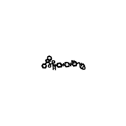 O=C(Nc1ccc(N2CCN(c3ccc(CN4CCOCC4)cn3)CC2)cc1)C(=O)c1c(-c2ccccc2)cc2n1CCCC2